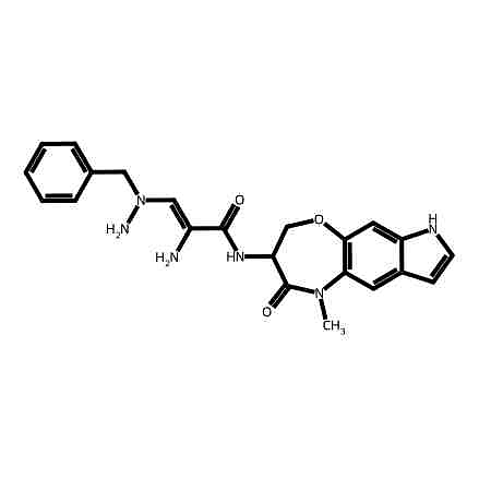 CN1C(=O)C(NC(=O)/C(N)=C/N(N)Cc2ccccc2)COc2cc3[nH]ccc3cc21